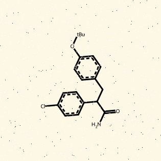 CC(C)(C)Oc1ccc(CC(C(N)=O)c2ccc(Cl)cc2)cc1